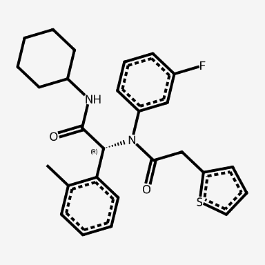 Cc1ccccc1[C@H](C(=O)NC1CCCCC1)N(C(=O)Cc1cccs1)c1cccc(F)c1